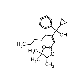 CCCCC/C(=C\B1OC(C)C(C)(C)O1)C(O)(c1ccccc1)C1CC1